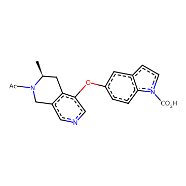 CC(=O)N1Cc2cncc(Oc3ccc4c(ccn4C(=O)O)c3)c2C[C@@H]1C